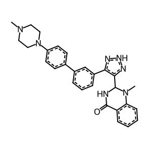 CN1CCN(c2ccc(-c3cccc(-c4n[nH]nc4C4NC(=O)c5ccccc5N4C)c3)cc2)CC1